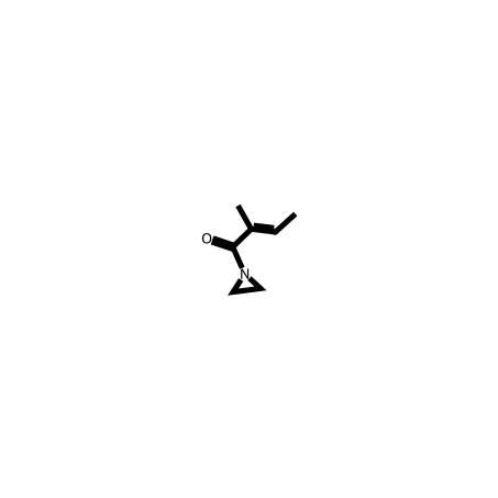 CC=C(C)C(=O)N1CC1